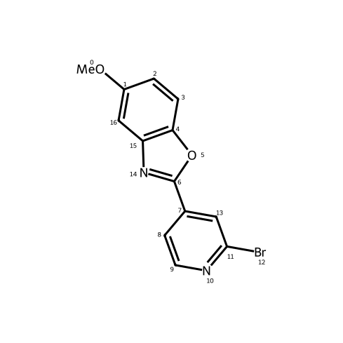 COc1ccc2oc(-c3ccnc(Br)c3)nc2c1